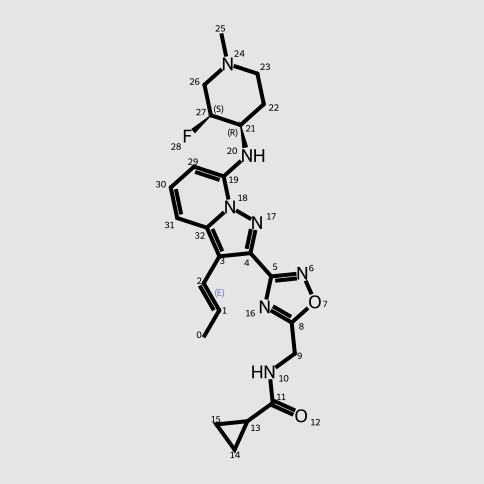 C/C=C/c1c(-c2noc(CNC(=O)C3CC3)n2)nn2c(N[C@@H]3CCN(C)C[C@@H]3F)cccc12